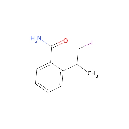 CC(CI)c1ccccc1C(N)=O